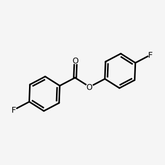 O=C(Oc1ccc(F)cc1)c1ccc(F)cc1